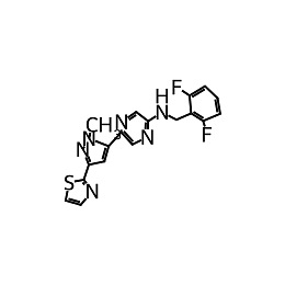 Cn1nc(-c2nccs2)cc1-c1cnc(NCc2c(F)cccc2F)cn1